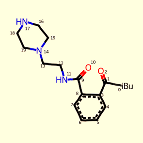 CCC(C)C(=O)c1ccccc1C(=O)NCCN1CCNCC1